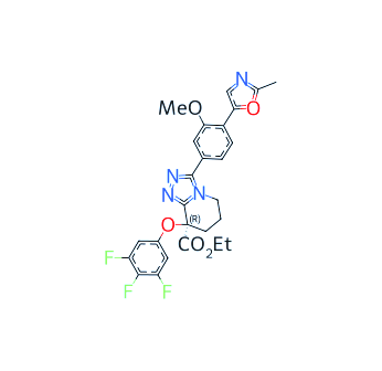 CCOC(=O)[C@@]1(Oc2cc(F)c(F)c(F)c2)CCCn2c(-c3ccc(-c4cnc(C)o4)c(OC)c3)nnc21